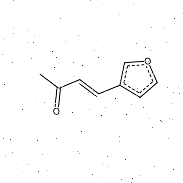 CC(=O)C=Cc1ccoc1